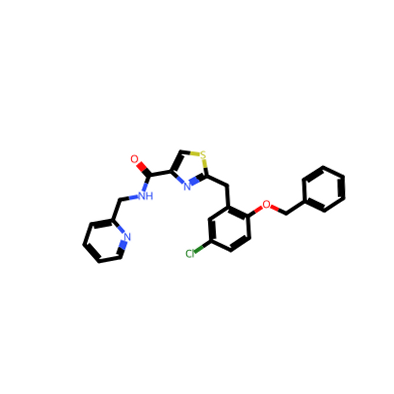 O=C(NCc1ccccn1)c1csc(Cc2cc(Cl)ccc2OCc2ccccc2)n1